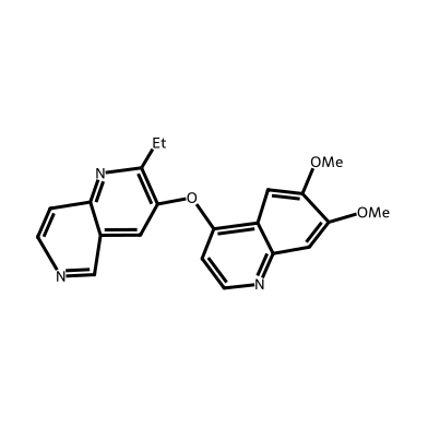 CCc1nc2ccncc2cc1Oc1ccnc2cc(OC)c(OC)cc12